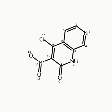 O=c1[nH]c2cnccc2c(Cl)c1[N+](=O)[O-]